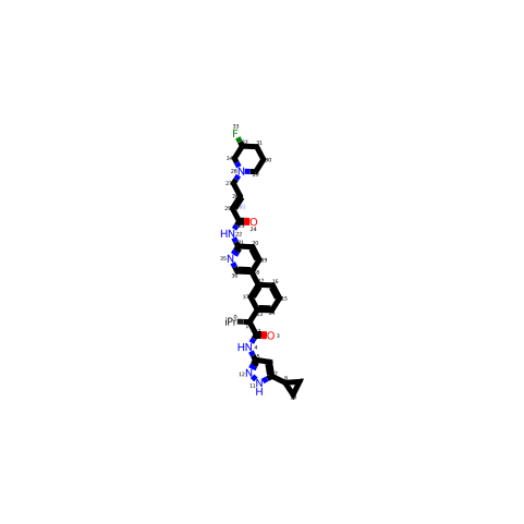 CC(C)C(C(=O)Nc1cc(C2CC2)[nH]n1)c1cccc(-c2ccc(NC(=O)/C=C/CN3CCCC(F)C3)nc2)c1